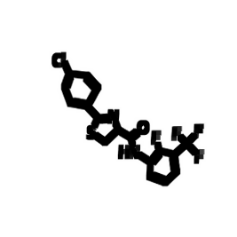 O=C(Nc1cccc(C(F)(F)F)c1F)C1CSC(c2ccc(Cl)cc2)=N1